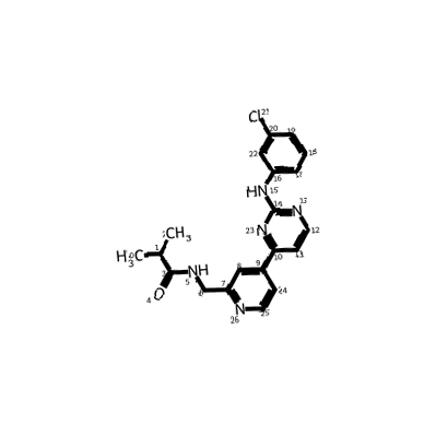 CC(C)C(=O)NCc1cc(-c2ccnc(Nc3cccc(Cl)c3)n2)ccn1